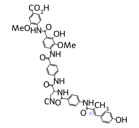 COc1cc(C(=O)O)ccc1NC(=O)c1ccc(NC(=O)c2ccc(NC(=O)C(CC#N)NC(=O)c3ccc(NC(=O)/C(C)=C/c4ccc(O)cc4)cc3)cc2)c(OC)c1O